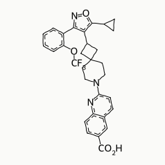 O=C(O)c1ccc2nc(N3CCC4(CC3)CC(c3c(-c5ccccc5OC(F)(F)F)noc3C3CC3)C4)ccc2c1